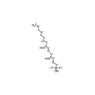 C=CCOCCOCC(O)COCC(O)COCC(O)(F)F